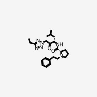 CCc1nnn(CC(=O)[C@H](CC(C)C)NC(=O)[C@@H]2CCCN2CCc2ccccc2)n1